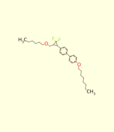 CCCCCCCCOc1ccc(-c2ccc(C3C(COCCCCCC)C3(F)F)cc2)cc1